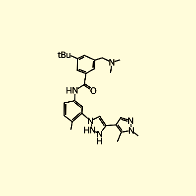 Cc1ccc(NC(=O)c2cc(CN(C)C)cc(C(C)(C)C)c2)cc1N1C=C(c2cnn(C)c2C)NN1